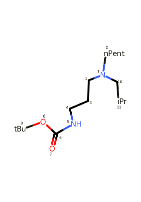 CCCCCN(CCCNC(=O)OC(C)(C)C)CC(C)C